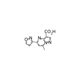 Cc1cc(-c2ccon2)nc2c(C(=O)O)cnn12